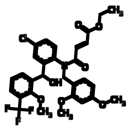 CCOC(=O)/C=C/C(=O)N(Cc1ccc(OC)cc1OC)c1ccc(Cl)cc1C(O)c1cccc(C(F)(F)F)c1OC